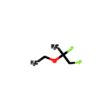 FCC(F)(OCC(F)(F)F)C(F)(F)F